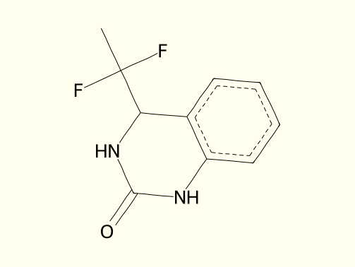 CC(F)(F)C1NC(=O)Nc2ccccc21